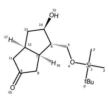 CC(C)(C)[Si](C)(C)OC[C@@H]1[C@H]2CC(=O)C[C@H]2C[C@H]1O